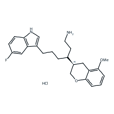 COc1cccc2c1C[C@H](C(CCN)CCCc1c[nH]c3ccc(F)cc13)CO2.Cl